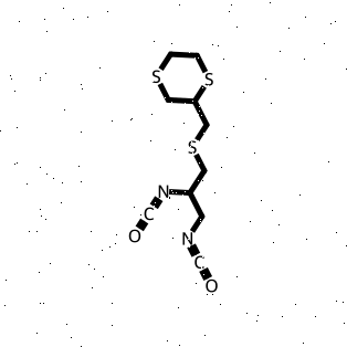 O=C=NCC(CSCC1CSCCS1)N=C=O